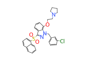 O=S(=O)(c1cccc2ccccc12)c1nn(Cc2cccc(Cl)c2)c2c(OCCN3CCCC3)cccc12